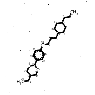 CCCC1CCC(C=CCOc2ccc(C3OCC(CC)CO3)cc2)CC1